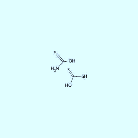 NC(O)=S.OC(=S)S